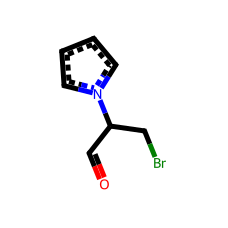 O=CC(CBr)n1cccc1